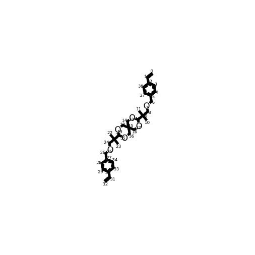 C=Cc1ccc(COCC(C)(C)C2OCC3(CO2)COC(C(C)(C)COCc2ccc(C=C)cc2)OC3)cc1